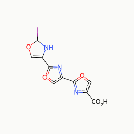 O=C(O)c1coc(-c2coc(C3=COC(I)N3)n2)n1